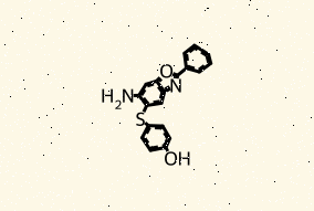 Nc1cc2oc(-c3ccccc3)nc2cc1Sc1ccc(O)cc1